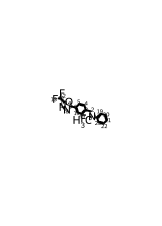 CN(Cc1ccc(-c2nnc(C(F)F)o2)cc1F)c1ccccc1